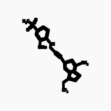 COc1cc(S(C)(=O)=O)ccc1NCC#Cc1cc(N)c2ccn(CC(F)(F)F)c2c1